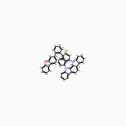 c1ccc(-n2c3ccccc3c3ccc4c5ccccc5n(-c5ccc6c(c5)sc5cccc(-c7ccc8c(c7)oc7ccccc78)c56)c4c32)cc1